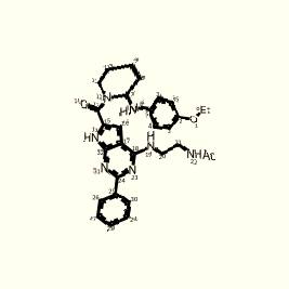 CCOc1ccc(NC2CCCCN2C(=O)c2cc3c(NCCNC(C)=O)nc(-c4ccccc4)nc3[nH]2)cc1